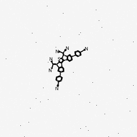 N#CC(C#N)=C1c2cc(-c3ccc(C#N)cc3)ccc2-c2c1sc1c2-c2ccc(-c3ccc(C#N)cc3)cc2C1=C(C#N)C#N